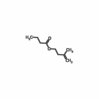 C=C(C)CCOC(=O)CCC